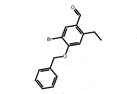 CCc1cc(OCc2ccccc2)c(Br)cc1C=O